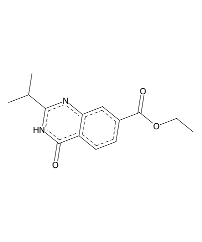 CCOC(=O)c1ccc2c(=O)[nH]c(C(C)C)nc2c1